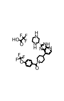 O=C(O)C(F)(F)F.O=C(c1ccc(OC(F)(F)F)cc1)N1CCC(c2ccnc3[nH]c([C@H]4CNCCN4)nc23)CC1